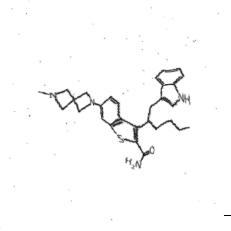 CCCCC(Cc1c[nH]c2ccccc12)c1c(C(N)=O)sc2cc(N3CC4(CN(C)C4)C3)ccc12